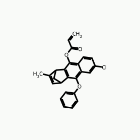 C=CC(=O)Oc1c2c(c(Oc3ccccc3)c3cc(Cl)ccc13)C1C=C(C)C2C1